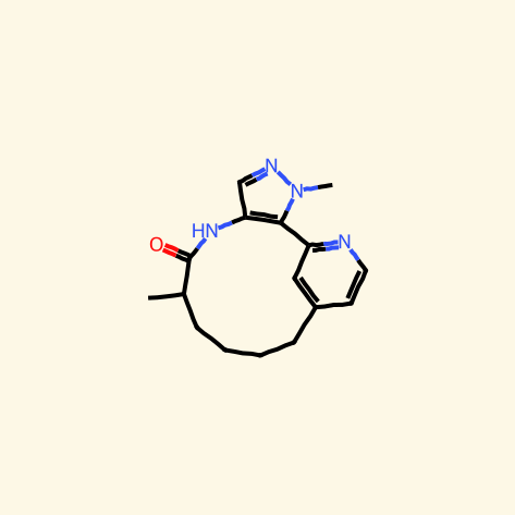 CC1CCCCc2ccnc(c2)-c2c(cnn2C)NC1=O